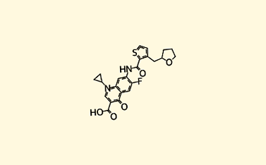 O=C(Nc1cc2c(cc1F)c(=O)c(C(=O)O)cn2C1CC1)c1sccc1CC1CCCO1